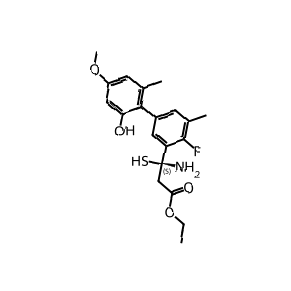 CCOC(=O)C[C@](N)(S)c1cc(-c2c(C)cc(OC)cc2O)cc(C)c1F